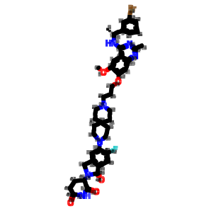 COc1cc2c(N[C@H](C)c3cccc(Br)c3)nc(C)nc2cc1OCCCN1CCC2(CC1)CCN(c1cc3c(cc1F)C(=O)N(C1CCC(=O)NC1=O)C3)CC2